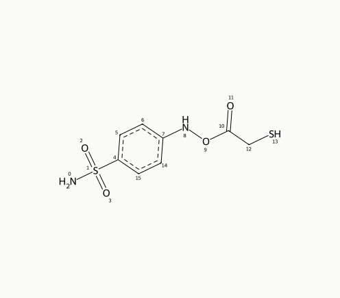 NS(=O)(=O)c1ccc(NOC(=O)CS)cc1